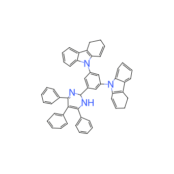 C1=Cc2c(c3ccccc3n2-c2cc(C3N=C(c4ccccc4)C(c4ccccc4)=C(c4ccccc4)N3)cc(-n3c4c(c5ccccc53)CCC=C4)c2)CC1